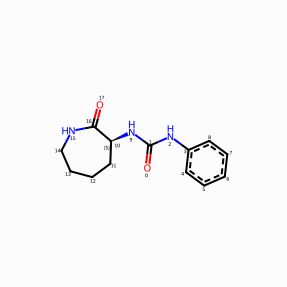 O=C(Nc1ccccc1)N[C@H]1CCCCNC1=O